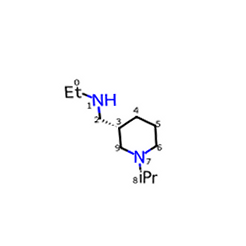 CCNC[C@@H]1CCCN(C(C)C)C1